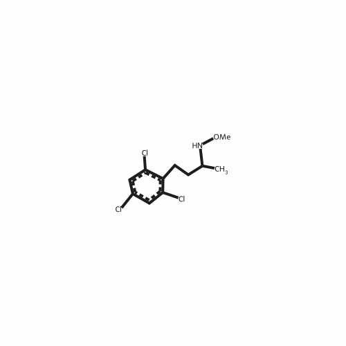 CONC(C)CCc1c(Cl)cc(Cl)cc1Cl